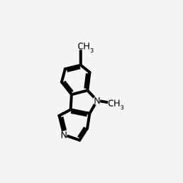 Cc1ccc2c3cnccc3n(C)c2c1